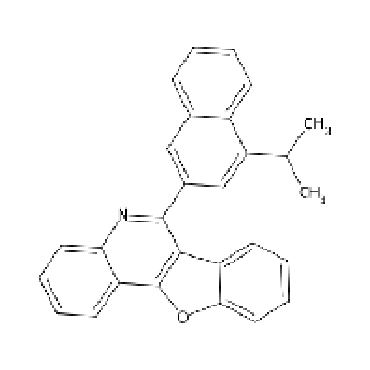 CC(C)c1cc(-c2nc3ccccc3c3oc4ccccc4c23)cc2ccccc12